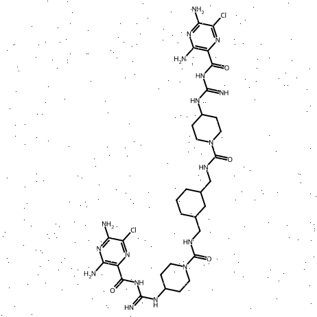 N=C(NC(=O)c1nc(Cl)c(N)nc1N)NC1CCN(C(=O)NCC2CCCC(CNC(=O)N3CCC(NC(=N)NC(=O)c4nc(Cl)c(N)nc4N)CC3)C2)CC1